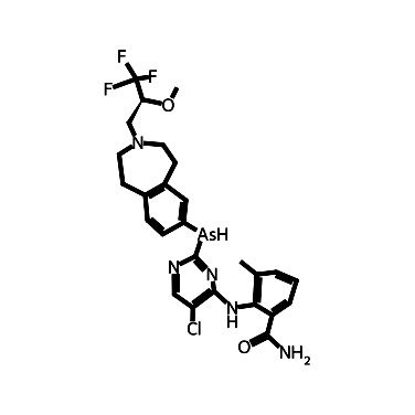 CO[C@@H](CN1CCc2ccc([AsH]c3ncc(Cl)c(Nc4c(C)cccc4C(N)=O)n3)cc2CC1)C(F)(F)F